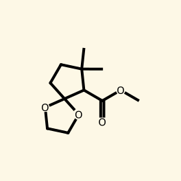 COC(=O)C1C(C)(C)CCC12OCCO2